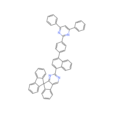 c1ccc(-c2cc(-c3ccccc3)nc(-c3ccc(-c4ccc(-c5ncc6c(n5)C5(c7ccccc7-c7ccccc75)c5ccccc5-6)c5ccccc45)cc3)n2)cc1